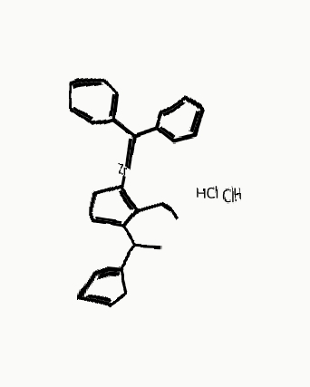 CCC1=[C]([Zr]=[C](c2ccccc2)c2ccccc2)CC=C1C(C)C1=CC=CC1.Cl.Cl